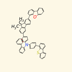 CC1(C)c2ccc(-c3ccc(N(c4ccc(-c5cccc6c5sc5ccccc56)cc4)c4ccccc4-c4ccccc4)cc3)cc2-c2ccc(-c3cccc4c3oc3ccccc34)cc21